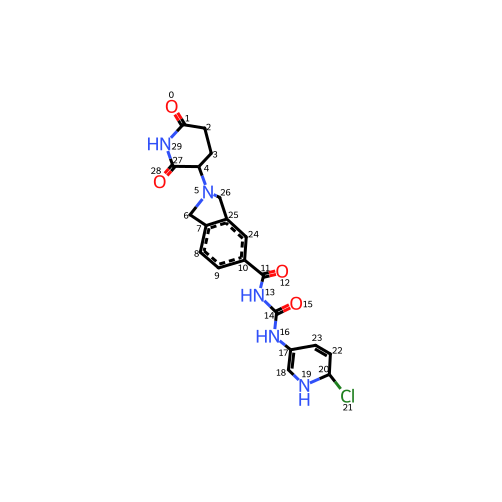 O=C1CCC(N2Cc3ccc(C(=O)NC(=O)NC4=CNC(Cl)C=C4)cc3C2)C(=O)N1